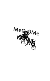 COc1ccc(CN(c2ccncn2)S(=O)(=O)c2c(F)cc(N[C@@H](N)c3cc(Cl)ccc3F)cc2F)c(OC)c1